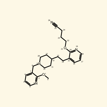 COc1ncccc1CN1CCC(CCc2cccnc2OCCCC#N)CC1